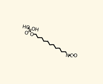 O=C=NCCCCCCCCCCCOP(=O)(O)O